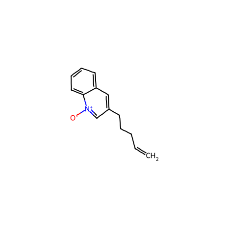 C=CCCCc1cc2ccccc2[n+]([O-])c1